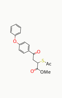 COC(=O)C(CC(=O)c1ccc(Oc2ccccc2)cc1)SC(C)=O